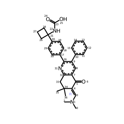 CN(C)/C=C1/C(=O)c2cc(-c3ccccc3)c(-c3ccc(C4(NC(=O)O)CCC4)cc3)nc2CC1(C)C